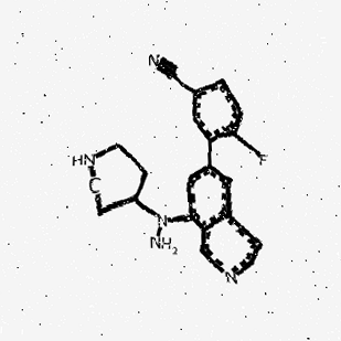 N#Cc1ccc(F)c(-c2cc(N(N)C3CCNCC3)c3cnccc3c2)c1